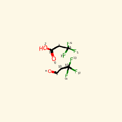 O=C(O)CC(F)(F)F.O=CCC(F)(F)F